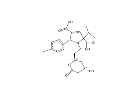 CC(C)C1(C(=O)O)C=C(C(=O)O)C(c2ccc(F)cc2)N1CC[C@H]1C[C@H](O)CC(=O)O1